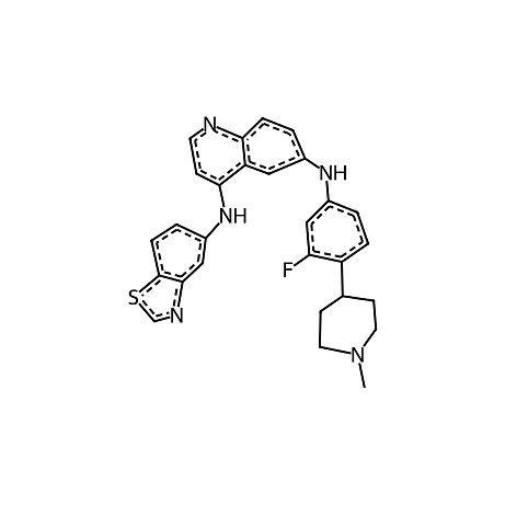 CN1CCC(c2ccc(Nc3ccc4nccc(Nc5ccc6scnc6c5)c4c3)cc2F)CC1